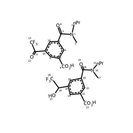 CCCN(C)C(=O)c1cc(C(=O)O)cc(C(=O)C(F)(F)F)c1.CCCN(C)C(=O)c1cc(C(=O)O)cc(C(O)C(F)(F)F)c1